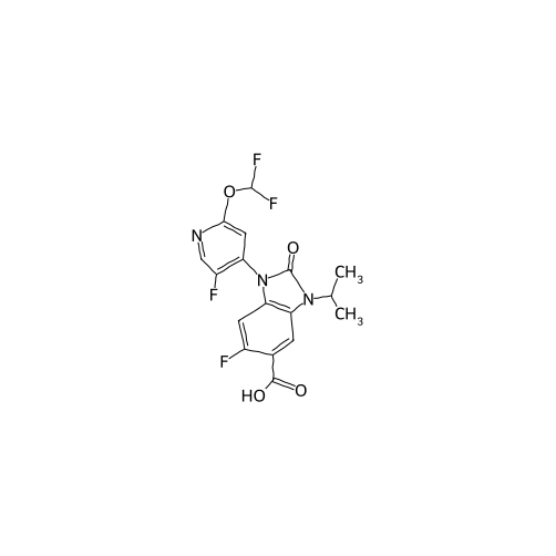 CC(C)n1c(=O)n(-c2cc(OC(F)F)ncc2F)c2cc(F)c(C(=O)O)cc21